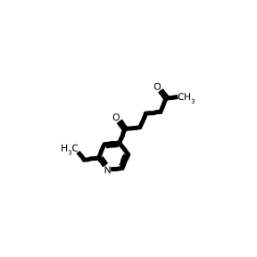 CCc1cc(C(=O)CCCC(C)=O)ccn1